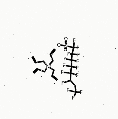 C=CC[N+](CC=C)(CC=C)CC=C.O=S(=O)([O-])C(F)(F)C(F)(F)C(F)(F)C(F)(F)C(F)(F)C(F)CC(F)(F)F